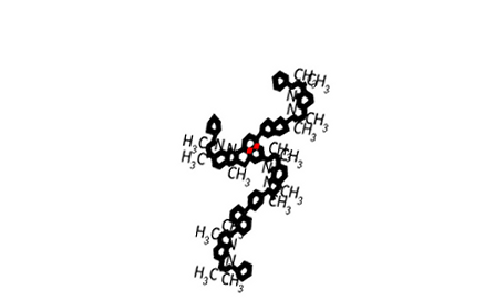 Cc1c(-c2ccc(-c3cccc4c(-c5nc6c(ccc7c(C)c(C)c(-c8ccccc8)nc76)c(C)c5C)cccc34)cc2)nc2c(ccc3c(C)c(C)c(-c4cccc(Cc5c(-c6ccc(-c7ccc8cc(-c9nc%10c(ccc%11c(C)c(C)c(-c%12ccccc%12)nc%11%10)c(C)c9C)ccc8c7)cc6)nc6c(ccc7c(C)c(C)c(-c8ccccc8)nc76)c5C)c4)nc32)c1C